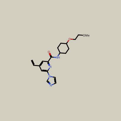 C=Cc1cc(C(=O)NC2CCC(OCCOC)CC2)nc(-n2ccnc2)c1